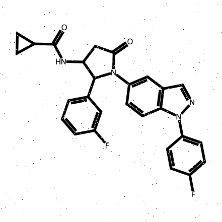 O=C(NC1CC(=O)N(c2ccc3c(cnn3-c3ccc(F)cc3)c2)C1c1cccc(F)c1)C1CC1